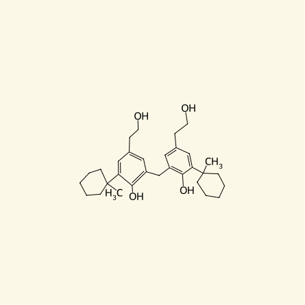 CC1(c2cc(CCO)cc(Cc3cc(CCO)cc(C4(C)CCCCC4)c3O)c2O)CCCCC1